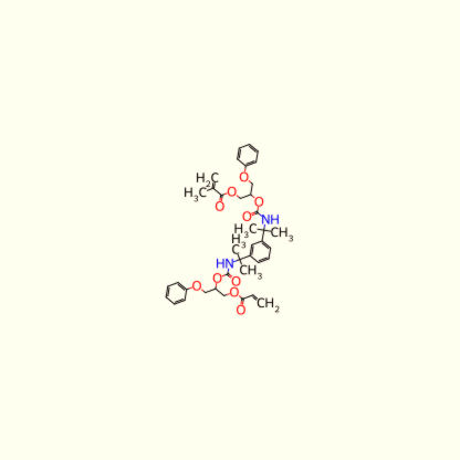 C=CC(=O)OCC(COc1ccccc1)OC(=O)NC(C)(C)c1cccc(C(C)(C)NC(=O)OC(COC(=O)C(=C)C)COc2ccccc2)c1